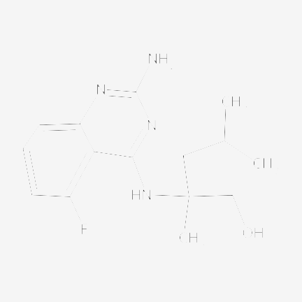 CC(C)CC(C)(CO)Nc1nc(N)nc2cccc(F)c12